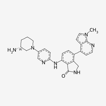 Cn1ccc2c(-c3ccc(Nc4ccc(N5CCC[C@@H](N)C5)cn4)c4c3CNC4=O)ccnc21